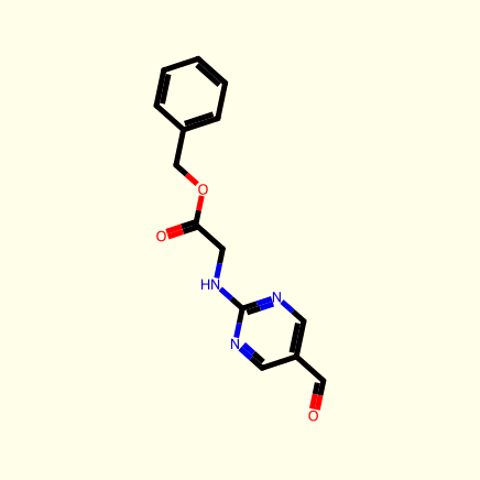 O=Cc1cnc(NCC(=O)OCc2ccccc2)nc1